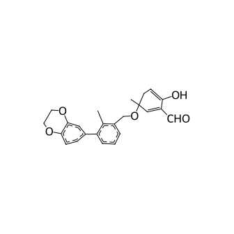 Cc1c(COC2(C)C=C(C=O)C(O)=CC2)cccc1-c1ccc2c(c1)OCCO2